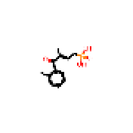 CC(=CCP(=O)(O)O)C(=O)c1ccccc1C